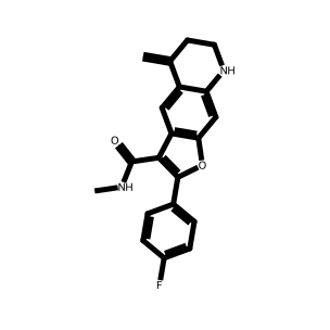 C=C1CCNc2cc3oc(-c4ccc(F)cc4)c(C(=O)NC)c3cc21